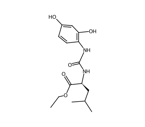 CCOC(=O)[C@H](CC(C)C)NC(=O)Nc1ccc(O)cc1O